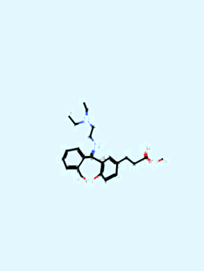 CCN(CC)CC/N=C1\c2ccccc2COc2ccc(CCC(=O)OC)cc21